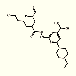 CCCCCC(CN(O)C=O)C(=O)NNc1nc(C(C)C)nc(N2CCN(CC)CC2)n1